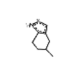 [CH2]C1CCc2[nH]ncc2C1